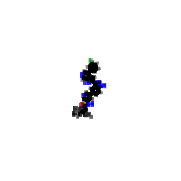 CC(C)(C)CC(=O)Nc1cncc(-c2ccc3[nH]nc(-c4cc5c(-c6cccc(F)c6)cncc5[nH]4)c3c2)c1